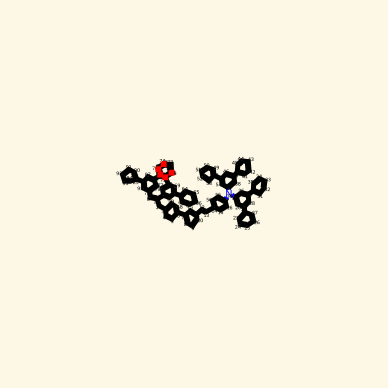 C(=C(\Cc1ccc(-c2cccc(/C=C/c3ccc(N(c4cc(-c5ccccc5)cc(-c5ccccc5)c4)c4cc(-c5ccccc5)cc(-c5ccccc5)c4)cc3)c2)cc1)c1cc(-c2ccccc2)cc(-c2ccccc2)c1)/c1cc(-c2ccccc2)cc(-c2ccccc2)c1